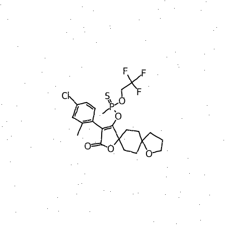 Cc1cc(Cl)ccc1C1=C(OP(C)(=S)OCC(F)(F)F)C2(CCC3(CCCO3)CC2)OC1=O